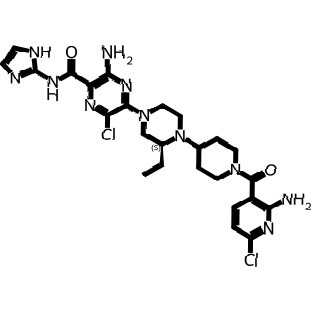 CC[C@H]1CN(c2nc(N)c(C(=O)Nc3ncc[nH]3)nc2Cl)CCN1C1CCN(C(=O)c2ccc(Cl)nc2N)CC1